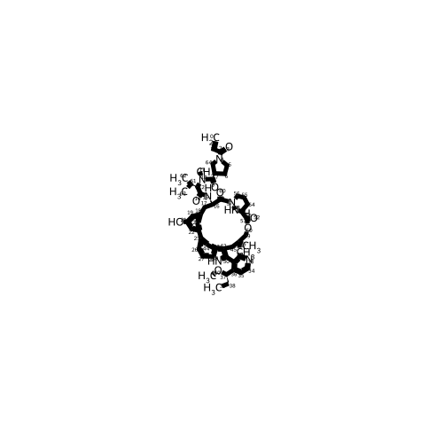 C=CC(=O)N1CC[C@H](C(=O)N(C)[C@H](C(=O)N[C@H]2Cc3cc(O)cc(c3)-c3ccc4[nH]c(-c5cnccc5[C@H](CC)OC)c(c4c3)CC(C)(C)COC(=O)[C@@H]3CCCN(N3)C2=O)C(C)C)C1